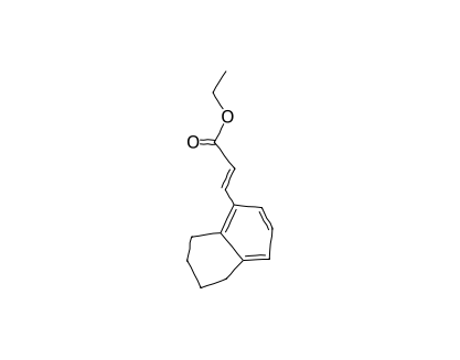 CCOC(=O)/C=C/c1cccc2c1CCCC2